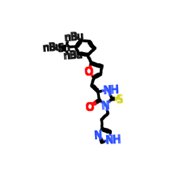 CCC[CH2][Sn]([CH2]CCC)([CH2]CCC)[c]1cccc(-c2ccc(/C=C3\NC(=S)N(CCc4c[nH]cn4)C3=O)o2)c1